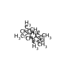 CC(C)[Si](Cl)(c1ccc([Si](Cl)(C(C)C)C(C)C)cc1)C(C)C